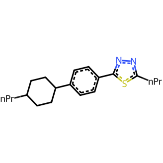 CCCc1nnc(-c2ccc(C3CCC(CCC)CC3)cc2)s1